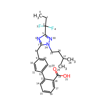 CCC(F)(F)c1nc(Cc2ccc(-c3ccccc3C(=O)O)cc2)n(CCC(C)C)n1